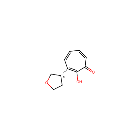 O=c1ccccc([C@@H]2CCOC2)c1O